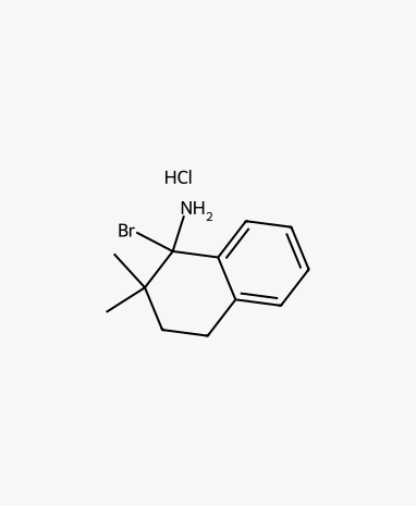 CC1(C)CCc2ccccc2C1(N)Br.Cl